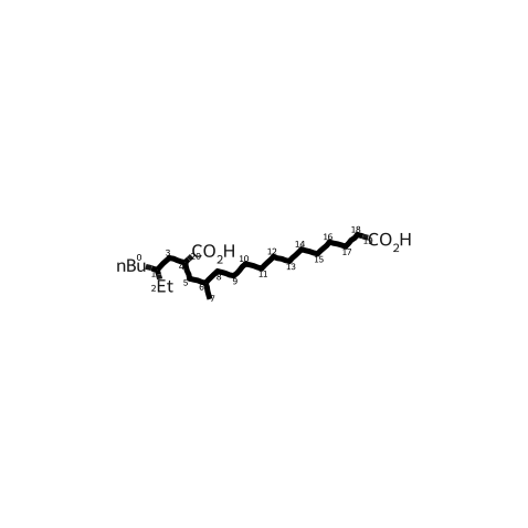 CCCCC(CC)CC(CC(C)CCCCCCCCCCCC(=O)O)C(=O)O